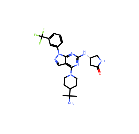 CC(C)(N)C1CCN(c2nc(N[C@@H]3CNC(=O)C3)nc3c2cnn3-c2cccc(C(F)(F)F)c2)CC1